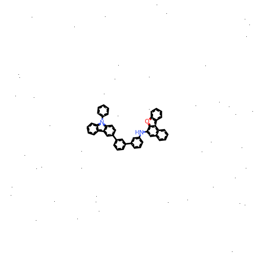 c1ccc(-n2c3ccccc3c3cc(-c4cccc(-c5cccc(Nc6cc7ccccc7c7c6oc6ccccc67)c5)c4)ccc32)cc1